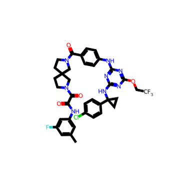 Cc1cc(F)cc(NC(=O)C(=O)N2CCC3(CCN(C(=O)c4ccc(Nc5nc(NC6(c7ccc(Cl)cc7)CC6)nc(OCC(F)(F)F)n5)cc4)C3)C2)c1